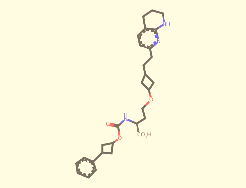 O=C(NC(CCOC1CC(CCc2ccc3c(n2)NCCC3)C1)C(=O)O)OC1CC(c2ccccc2)C1